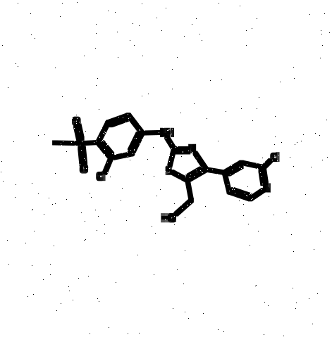 CS(=O)(=O)c1ccc(Nc2nc(-c3ccnc(Cl)c3)c(CO)s2)cc1Cl